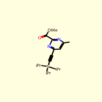 COC(=O)c1nc(C)cc(C#C[Si](C(C)C)(C(C)C)C(C)C)n1